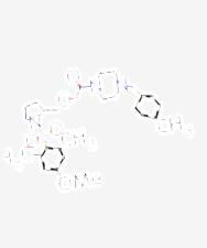 COc1cc(C)c(S(=O)(=O)N2CCCC2COCC(=O)N2CCN(Cc3ccc(C)cc3)CC2)c(C)c1